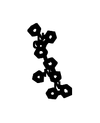 c1ccc(-n2c3cc(-c4ccc5oc6c(c5c4)c4ccccc4n6-c4ccccc4)ccc3c3ccc(-n4c5ccccc5c5ccccc54)cc32)cc1